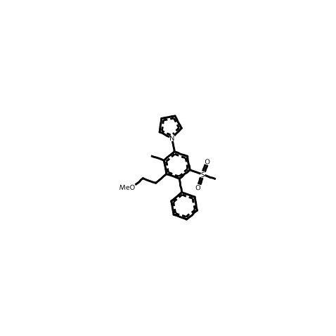 COCCc1c(C)c(-n2cccc2)cc(S(C)(=O)=O)c1-c1ccccc1